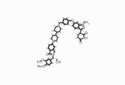 CCOc1cc([C@@H](CC#N)N2Cc3cc(N4CCC(C5CCN(Cc6ccc(Oc7ccc8c(C9CCC(=O)NC9=O)nn(C)c8c7)cc6)CC5)CC4)ccc3C2=O)ccc1OC